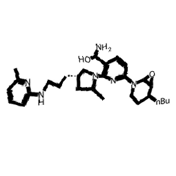 CCCCC1CCN(c2ccc(C(N)O)c(N3C[C@@H](CCCNc4cccc(C)n4)CC3C)n2)C2OC12